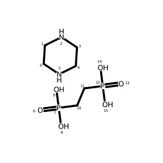 C1CNCCN1.O=P(O)(O)CCP(=O)(O)O